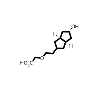 O=C(O)COCCC1C[C@@H]2C[C@@H](O)C[C@@H]2C1